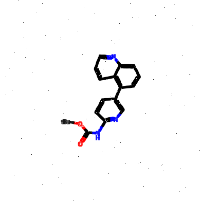 CC(C)(C)OC(=O)Nc1ccc(-c2cccc3ncccc23)cn1